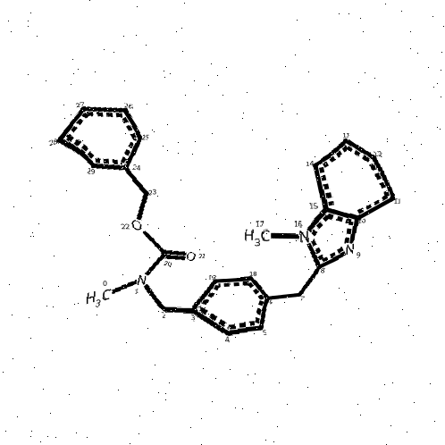 CN(Cc1ccc(Cc2nc3ccccc3n2C)cc1)C(=O)OCc1ccccc1